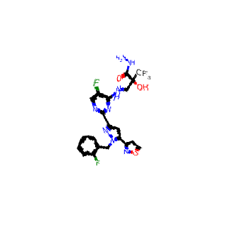 NNC(=O)C(O)(CNc1nc(-c2cc(-c3ccon3)n(Cc3ccccc3F)n2)ncc1F)C(F)(F)F